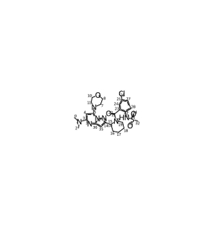 CN(C)c1cc(N2CCOCC2)n2nc([C@@H]3CCCCN3C(=O)c3cc(Cl)ccc3NS(C)(=O)=O)cc2n1